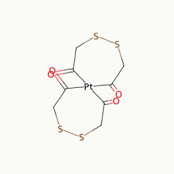 O=[C]1CSSC[C](=O)[Pt]12[C](=O)CSSC[C]2=O